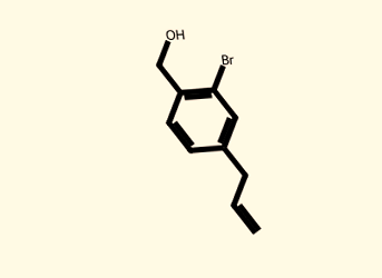 C=CCc1ccc(CO)c(Br)c1